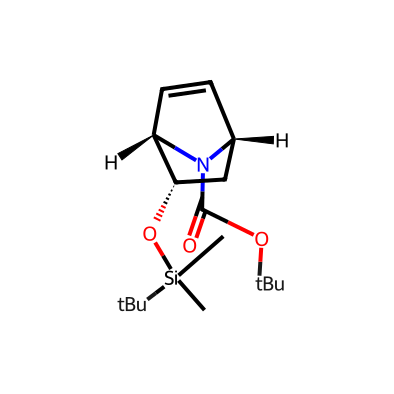 CC(C)(C)OC(=O)N1[C@@H]2C=C[C@H]1[C@@H](O[Si](C)(C)C(C)(C)C)C2